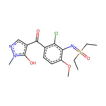 CCS(=O)(CC)=Nc1c(OC)ccc(C(=O)c2cnn(C)c2O)c1Cl